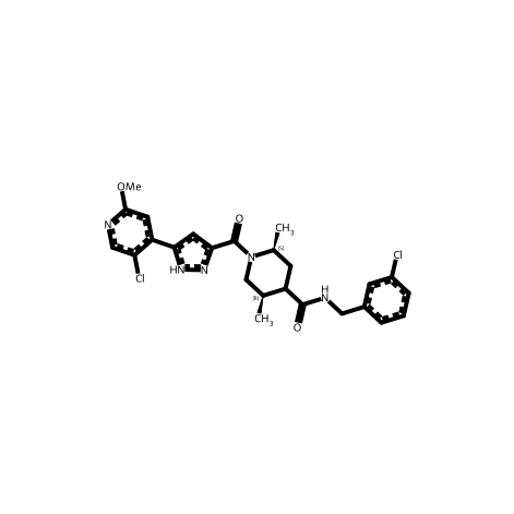 COc1cc(-c2cc(C(=O)N3C[C@H](C)C(C(=O)NCc4cccc(Cl)c4)C[C@@H]3C)n[nH]2)c(Cl)cn1